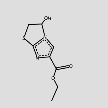 CCOC(=O)c1cn2c(n1)SCC2O